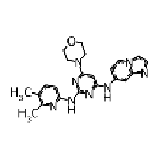 Cc1ccc(Nc2nc(Nc3ccn4ccnc4c3)cc(N3CCOCC3)n2)nc1C